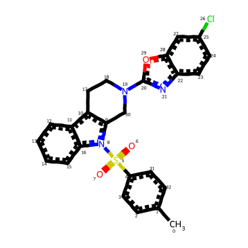 Cc1ccc(S(=O)(=O)n2c3c(c4ccccc42)CCN(c2nc4ccc(Cl)cc4o2)C3)cc1